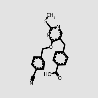 CSc1ncc(Cc2ccc(C(=O)O)cc2)c(OCc2ccc(C#N)cc2)n1